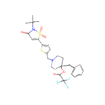 CC(C)(C)N1C(=O)C=C(c2ccc(CN3CCC(Cc4ccccc4)(OC(=O)C(F)(F)F)CC3)s2)S1(=O)=O